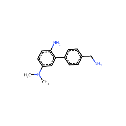 CN(C)c1ccc(N)c(-c2ccc(CN)cc2)c1